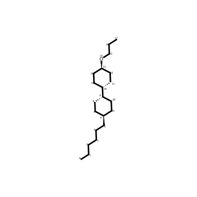 CCCCCC[C@H]1CC[C@H]([C@H]2CC[C@H](OCCC)CC2)CC1